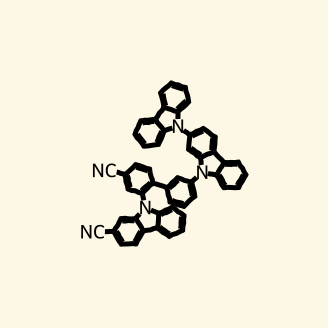 N#Cc1ccc(-c2cccc(-n3c4ccccc4c4ccc(-n5c6ccccc6c6ccccc65)cc43)c2)c(-n2c3ccccc3c3ccc(C#N)cc32)c1